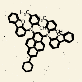 Cc1ccc(C)c(N(c2cc(N(c3cc(C)ccc3C)c3cccc4c3oc3ccccc34)c3ccc4cc(C5CCCCC5)cc5ccc2c3c54)c2cccc3c2oc2ccccc23)c1